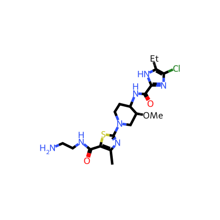 CCc1[nH]c(C(=O)NC2CCN(c3nc(C)c(C(=O)NCCN)s3)CC2OC)nc1Cl